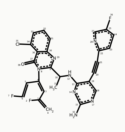 C=C(F)/C=C(\C=C\F)n1c(C(C)Nc2nc(N)ncc2C#Cc2ccc(F)cn2)nc2cccc(Cl)c2c1=O